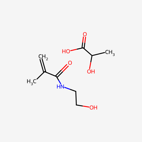 C=C(C)C(=O)NCCO.CC(O)C(=O)O